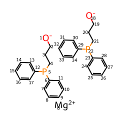 [Mg+2].[O-]CCCP(c1ccccc1)c1ccccc1.[O-]CCCP(c1ccccc1)c1ccccc1